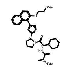 CN[C@@H](C)C(=O)N[C@H](C(=O)N1CCC[C@H]1c1nc(-c2c(OCCOC)ccc3ccccc23)cs1)C1CCCCC1